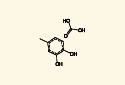 Cc1ccc(O)c(O)c1.O=C(O)O